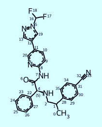 CC(CN[C@H](C(=O)Nc1ccc(-c2cnn(C(F)F)c2)cn1)c1ccccc1)c1ccc(C#N)cc1